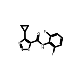 O=C(Nc1c(F)cccc1F)c1snnc1C1CC1